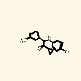 N#Cc1cccc(C(Nc2ccc(Cl)cc2)C(=O)C2CC2)c1